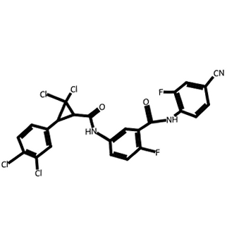 N#Cc1ccc(NC(=O)c2cc(NC(=O)C3C(c4ccc(Cl)c(Cl)c4)C3(Cl)Cl)ccc2F)c(F)c1